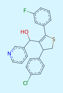 OC(C1=C(c2cccc(F)c2)SCC1c1ccc(Cl)cc1)c1cccnc1